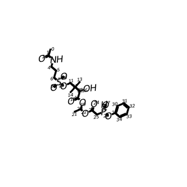 CC(=O)NCCCS(=O)(=O)OCC(C)(C)[C@@H](O)C(=O)OC(C)OC(=O)C[PH](=O)Oc1ccccc1